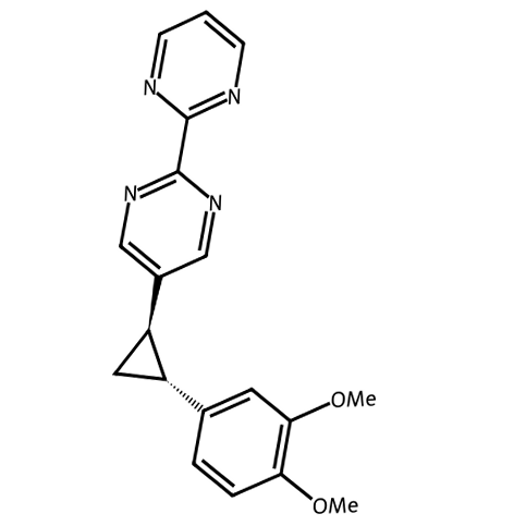 COc1ccc([C@@H]2C[C@H]2c2cnc(-c3ncccn3)nc2)cc1OC